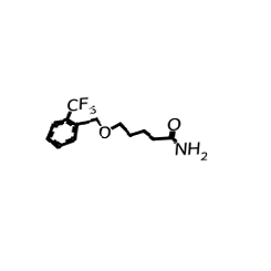 NC(=O)CCCCOCc1ccccc1C(F)(F)F